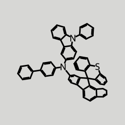 c1ccc2c(c#1)C1(c3ccccc3S2)c2cc(N(c3ccc(-c4ccccc4)cc3)c3ccc4c(c3)c3ccccc3n4-c3ccccc3)ccc2-c2ccc3c(c21)CCC=C3